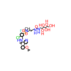 CN(CCCCNC(=O)NCC(O)C(O)C(O)C(O)CO)S(=O)(=O)c1cc(CNC2(c3cnccc3-c3ccccc3OC3CC3)CC2)c(Cl)cc1F